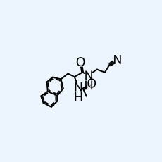 CC(=O)NC(Cc1ccc2ccccc2c1)C(=O)NCCC#N